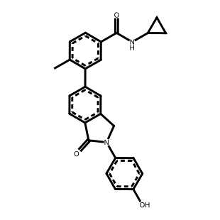 Cc1ccc(C(=O)NC2CC2)cc1-c1ccc2c(c1)CN(c1ccc(O)cc1)C2=O